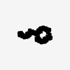 CCOC(=O)C1CCC(Oc2ccc3c(c2)CCC(c2ccccc2F)O3)CC1.Cc1c(F)cccc1C1CCc2cc(OC3CCC4(CC3)OCCO4)ccc2O1.Fc1ccccc1C1CCc2cc(OC3CCC4(CC3)OCCO4)ccc2O1